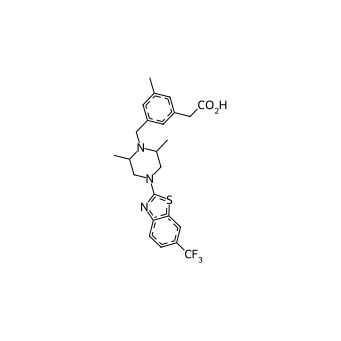 Cc1cc(CC(=O)O)cc(CN2C(C)CN(c3nc4ccc(C(F)(F)F)cc4s3)CC2C)c1